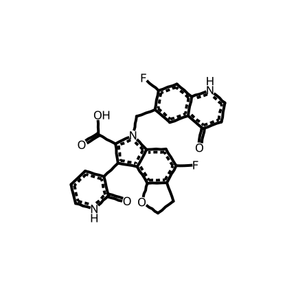 O=C(O)c1c(-c2ccc[nH]c2=O)c2c3c(c(F)cc2n1Cc1cc2c(=O)cc[nH]c2cc1F)CCO3